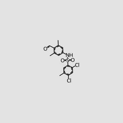 Cc1cc(S(=O)(=O)Nc2cc(C)c(C=O)c(C)c2)c(Cl)cc1Cl